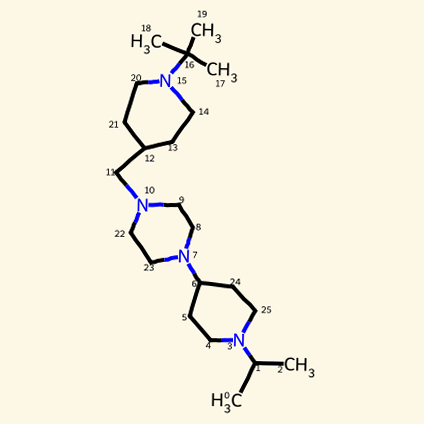 CC(C)N1CCC(N2CCN(CC3CCN(C(C)(C)C)CC3)CC2)CC1